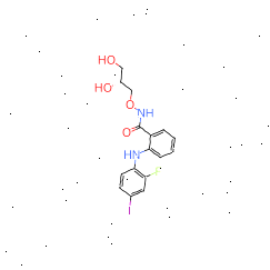 O=C(NOC[C@H](O)CO)c1ccccc1Nc1ccc(I)cc1F